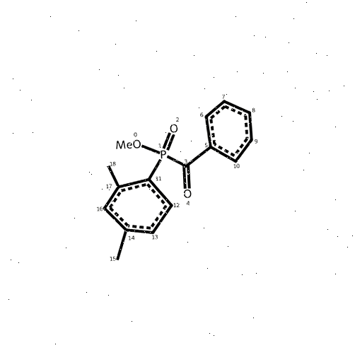 COP(=O)(C(=O)c1ccccc1)c1ccc(C)cc1C